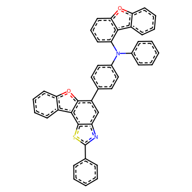 c1ccc(-c2nc3cc(-c4ccc(N(c5ccccc5)c5cccc6oc7ccccc7c56)cc4)c4oc5ccccc5c4c3s2)cc1